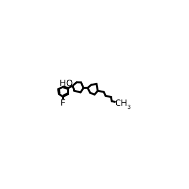 CCCCCC1CCC(C2CCC(O)(c3cccc(F)c3)CC2)CC1